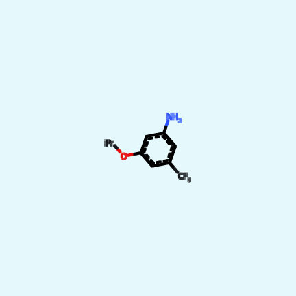 CC(C)Oc1cc(N)cc(C(F)(F)F)c1